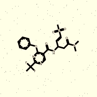 CN(C)C(=O)CC(C=CS(C)(=O)=O)NC(=O)c1cnc(C(C)(F)F)nc1Oc1ccccc1